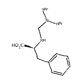 CCCN(CCC)CN[C@@H](Cc1ccccc1)C(=O)O